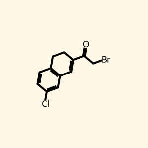 O=C(CBr)C1=Cc2cc(Cl)ccc2CC1